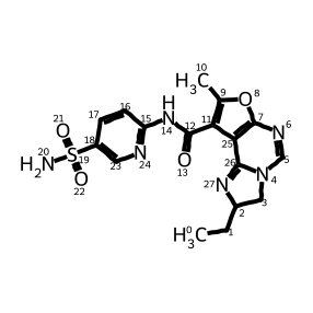 CCC1CN2C=Nc3oc(C)c(C(=O)Nc4ccc(S(N)(=O)=O)cn4)c3C2=N1